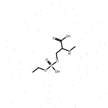 CCOP(=O)(O)OCC(NC)C(=O)O